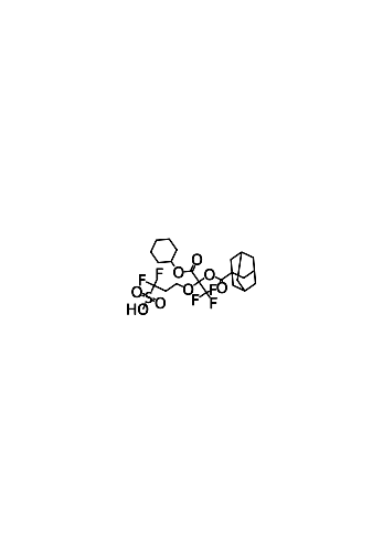 O=C(OC(OCCC(F)(F)S(=O)(=O)O)(C(=O)OC1CCCCC1)C(F)(F)F)C12CC3CC(CC(C3)C1)C2